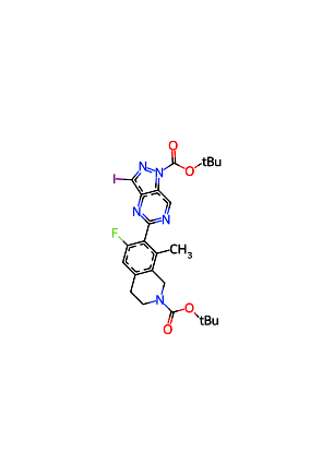 Cc1c2c(cc(F)c1-c1ncc3c(n1)c(I)nn3C(=O)OC(C)(C)C)CCN(C(=O)OC(C)(C)C)C2